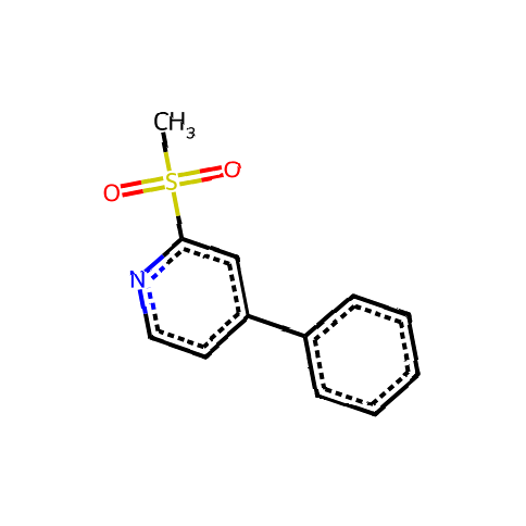 CS(=O)(=O)c1cc(-c2ccccc2)ccn1